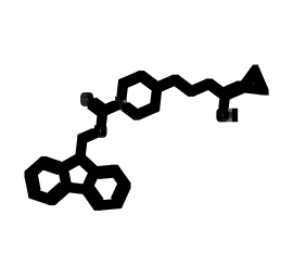 O=C(OCC1c2ccccc2-c2ccccc21)N1CCC(CCCC(O)=C2CC2)CC1